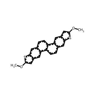 COc1cc2cc3c(ccc4c5cc6cc(OC)sc6cc5ccc34)cc2s1